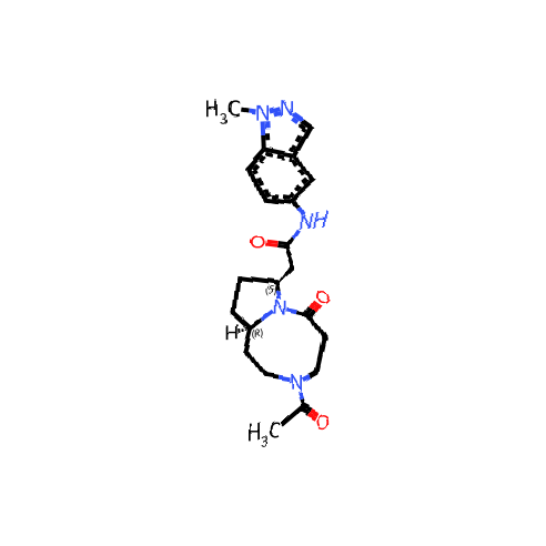 CC(=O)N1CCC(=O)N2[C@H](CC[C@H]2CC(=O)Nc2ccc3c(cnn3C)c2)CC1